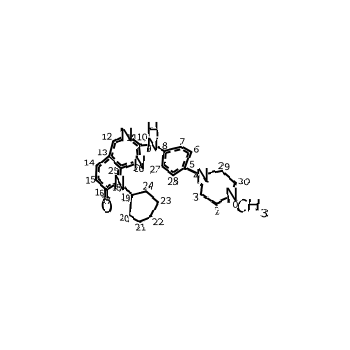 CN1CCN(c2ccc(Nc3ncc4ccc(=O)n(C5CCCCC5)c4n3)cc2)CC1